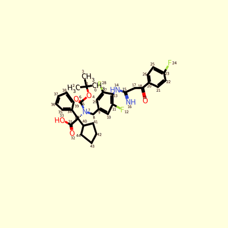 CC(C)(C)OC(=O)N(Cc1cc(F)c(NC(=N)CC(=O)c2ccc(F)cc2)c(F)c1)[C@](C(=O)O)(c1ccccc1)C1CCCC1